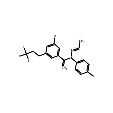 C=C(c1cc(F)cc(CCC(F)(F)F)c1)N(/N=C/N)c1ccc(F)cc1